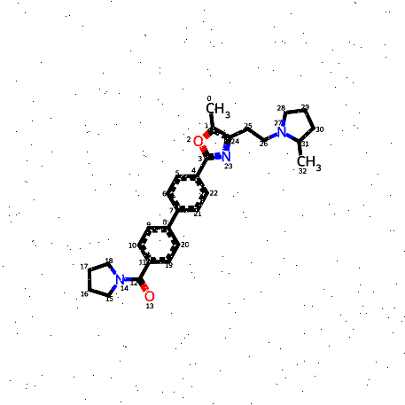 Cc1oc(-c2ccc(-c3ccc(C(=O)N4CCCC4)cc3)cc2)nc1CCN1CCCC1C